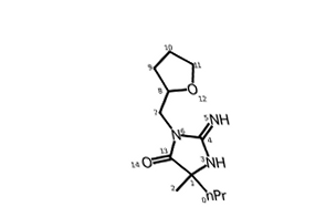 CCCC1(C)NC(=N)N(CC2CCCO2)C1=O